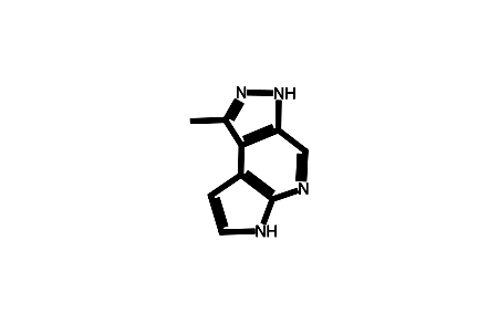 Cc1n[nH]c2cnc3[nH]ccc3c12